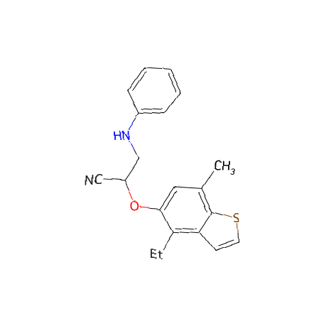 CCc1c(OC(C#N)CNc2ccccc2)cc(C)c2sccc12